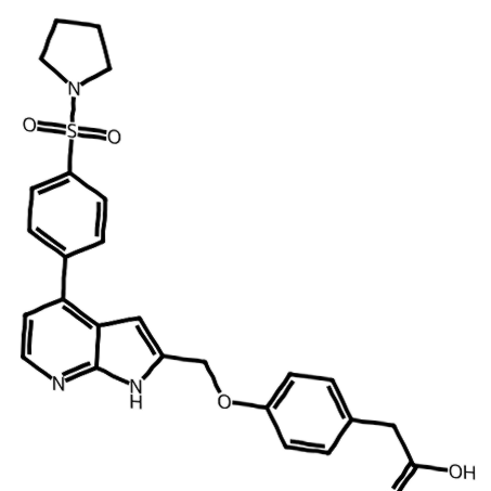 O=C(O)Cc1ccc(OCc2cc3c(-c4ccc(S(=O)(=O)N5CCCC5)cc4)ccnc3[nH]2)cc1